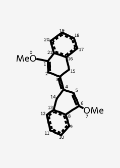 COC1=CC(=C2C=C(OC)c3ccccc3C2)Cc2ccccc21